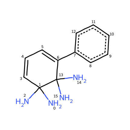 NC1(N)C=CC=C(c2ccccc2)C1(N)N